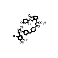 CC(C)c1cc(-c2nnc(O)n2-c2ccc(CC3CCN(C(=O)CN(C(=O)O)c4cccc5c4CN(C4CCC(=O)NC4=O)C5=O)CC3)cc2)c(O)cc1O